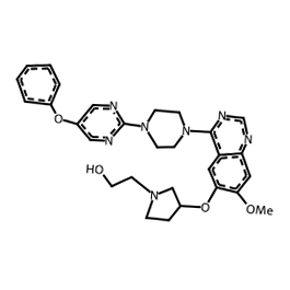 COc1cc2ncnc(N3CCN(c4ncc(Oc5ccccc5)cn4)CC3)c2cc1OC1CCN(CCO)C1